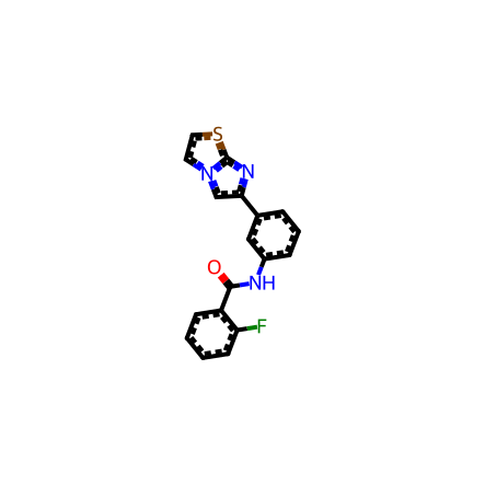 O=C(Nc1cccc(-c2cn3ccsc3n2)c1)c1ccccc1F